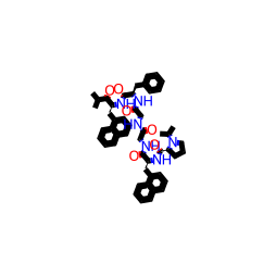 CC(C)C(=O)[C@@H](Cc1cccc2ccccc12)NC(=O)[C@@H](Cc1ccccc1)NC(=O)CNC(=O)CNC(=O)[C@@H](Cc1cccc2ccccc12)NC(=O)[C@H]1CCCN1C(C)C